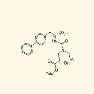 CCCCOC(=O)[C@@H](O)CN(CC(C)C)C(=O)N[C@H](Cc1ccc(-c2ccccc2)cc1)C(=O)O